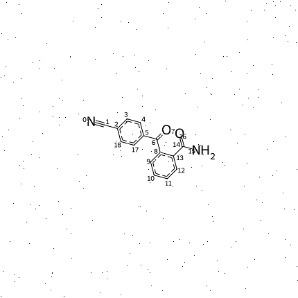 N#Cc1ccc(C(=O)c2ccccc2C(N)=O)cc1